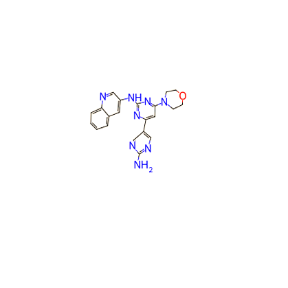 Nc1ncc(-c2cc(N3CCOCC3)nc(Nc3cnc4ccccc4c3)n2)cn1